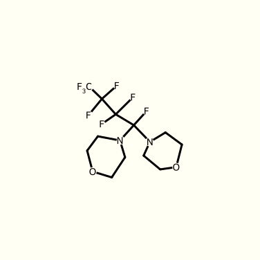 FC(F)(F)C(F)(F)C(F)(F)C(F)(N1CCOCC1)N1CCOCC1